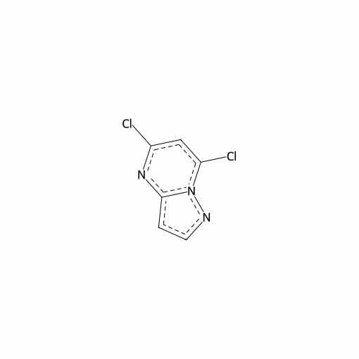 Clc1cc(Cl)n2nccc2n1